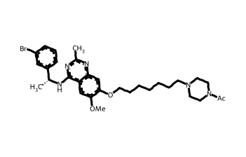 COc1cc2c(N[C@H](C)c3cccc(Br)c3)nc(C)nc2cc1OCCCCCCCN1CCN(C(C)=O)CC1